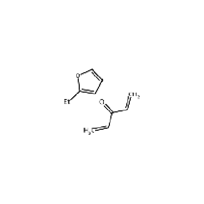 C=CC(=O)C=C.CCc1ccco1